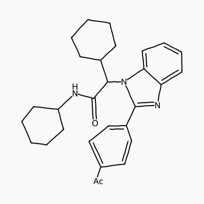 CC(=O)c1ccc(-c2nc3ccccc3n2C(C(=O)NC2CCCCC2)C2CCCCC2)cc1